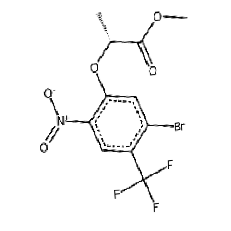 COC(=O)[C@@H](C)Oc1cc(Br)c(C(F)(F)F)cc1[N+](=O)[O-]